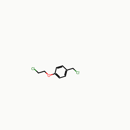 ClCCOc1ccc(CCl)cc1